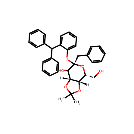 CC1(C)O[C@@H]2[C@H](O1)[C@@H](O)[C@](Cc1ccccc1)(Oc1ccccc1C(c1ccccc1)c1ccccc1)O[C@@H]2CO